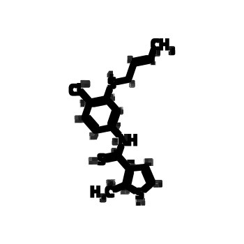 C/C=C/CSc1cc(NC(=S)c2ccsc2C)ccc1Cl